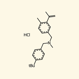 C=C(C)c1cc(CN(C)Cc2ccc(C(C)(C)C)cc2)ccc1C.Cl